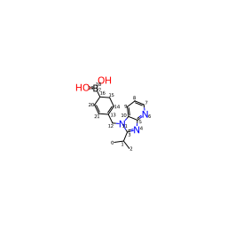 CC(C)c1nc2ncccc2n1CC1=CCC(B(O)O)C=C1